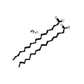 CCCCCCCCCCCCCCCCCC(=O)[O-].CCCCCCCCCCCCCCCCCC(=O)[O-].[W].[Zn+2]